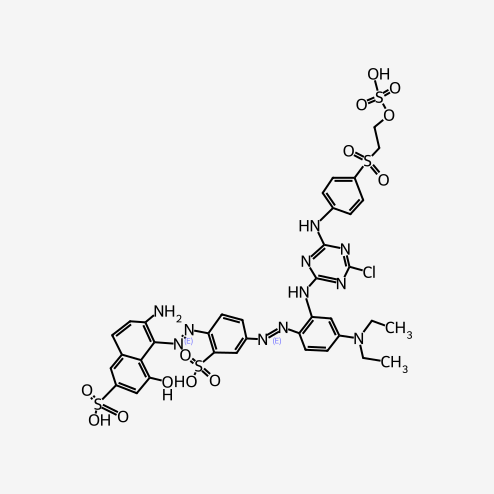 CCN(CC)c1ccc(/N=N/c2ccc(/N=N/c3c(N)ccc4cc(S(=O)(=O)O)cc(O)c34)c(S(=O)(=O)O)c2)c(Nc2nc(Cl)nc(Nc3ccc(S(=O)(=O)CCOS(=O)(=O)O)cc3)n2)c1